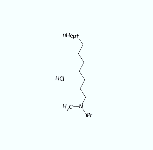 CCCCCCCCCCCCCCN(C)C(C)C.Cl